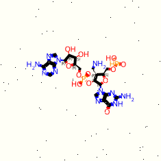 NC[C@H]1[C@@H](OP(=O)(O)OC[C@H]2O[C@@H](n3cnc4c(N)ncnc43)[C@H](O)[C@@H]2O)[C@H](n2cnc3c(=O)[nH]c(N)nc32)O[C@@H]1CO[PH](=O)O